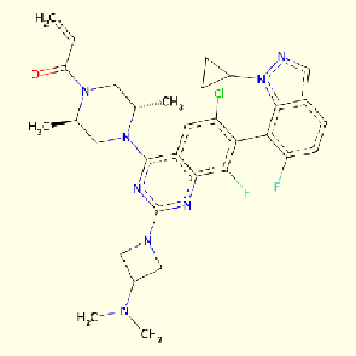 C=CC(=O)N1C[C@H](C)N(c2nc(N3CC(N(C)C)C3)nc3c(F)c(-c4c(F)ccc5cnn(C6CC6)c45)c(Cl)cc23)C[C@H]1C